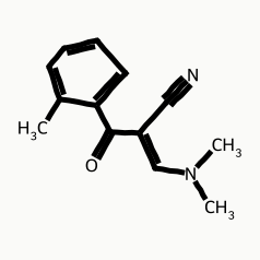 Cc1ccccc1C(=O)/C(C#N)=C/N(C)C